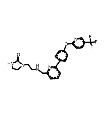 O=C1NCCN1CCNCc1cccc(-c2ccc(Oc3ccc(C(F)(F)F)cn3)cc2)n1